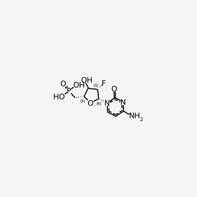 Nc1ccn([C@@H]2O[C@H](CP(=O)(O)O)C(O)[C@@H]2F)c(=O)n1